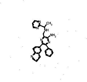 CC(NCc1nc(-c2ccc3ncccc3c2)c(-c2ccccc2)nc1N)c1ncccn1